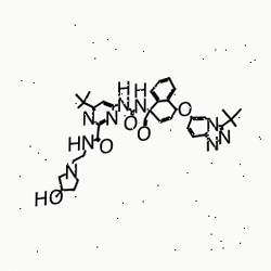 CC(C)(C)c1cc(NC(=O)N[C@@]2(C=O)C=C[C@@H](Oc3ccc4nnc(C(C)(C)C)n4c3)c3ccccc32)nc(C(=O)NCCN2CC[C@@H](O)C2)n1